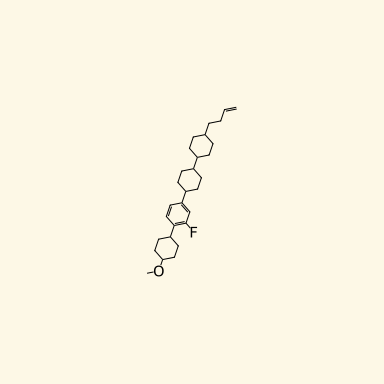 C=CCCC1CCC(C2CCC(c3ccc(C4CCC(OC)CC4)c(F)c3)CC2)CC1